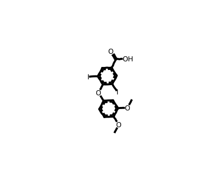 COc1ccc(Oc2c(I)cc(C(=O)O)cc2I)cc1OC